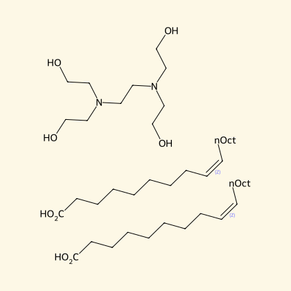 CCCCCCCC/C=C\CCCCCCCC(=O)O.CCCCCCCC/C=C\CCCCCCCC(=O)O.OCCN(CCO)CCN(CCO)CCO